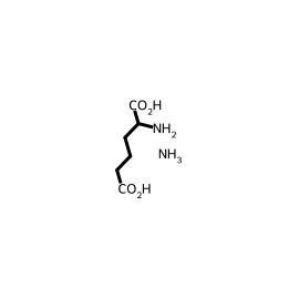 N.NC(CCCC(=O)O)C(=O)O